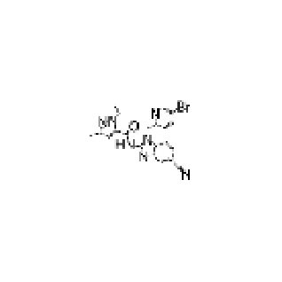 CCn1nc(C)cc1C(=O)Nc1nc2cc(C#N)ccc2n1Cc1ccc(Br)cn1